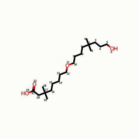 CC(C)(CCCO)CCCCOCCCCCC(C)(C)CC(=O)O